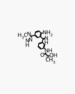 C/N=C(\N=N)c1ccc(N)c(C(=N)c2cccc(NC(=O)[C@H](C)O)c2)c1